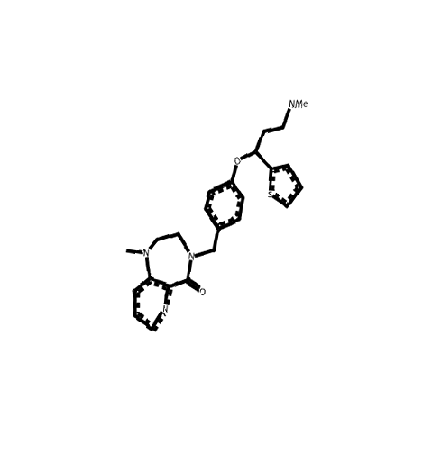 CNCCC(Oc1ccc(CN2CCN(C)c3cccnc3C2=O)cc1)c1cccs1